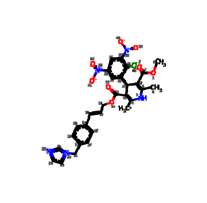 COC(=O)C1=C(C)NC(C)=C(C(=O)OCC=Cc2ccc(Cn3ccnc3)cc2)C1c1cc([N+](=O)[O-])cc([N+](=O)[O-])c1Cl